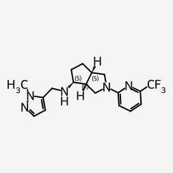 Cn1nccc1CN[C@H]1CC[C@@H]2CN(c3cccc(C(F)(F)F)n3)C[C@@H]21